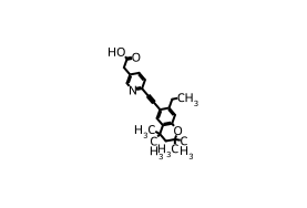 CCc1cc2c(cc1C#Cc1ccc(CC(=O)O)cn1)C(C)(C)CC(C)(C)O2